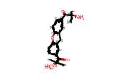 CC(C)(O)C(=O)c1ccc2c(c1)Cc1cc(C(=O)C(C)(C)O)ccc1O2